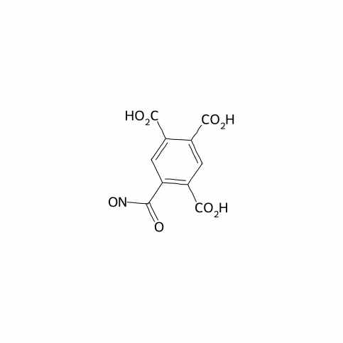 O=NC(=O)c1cc(C(=O)O)c(C(=O)O)cc1C(=O)O